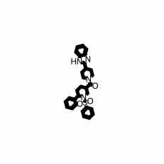 O=C(C1CCC(c2ccccc2)N(S(=O)(=O)c2ccccc2)C1)N1CCC(c2nc3ccccc3[nH]2)CC1